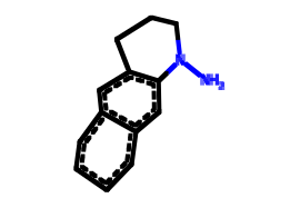 NN1CCCc2cc3ccccc3cc21